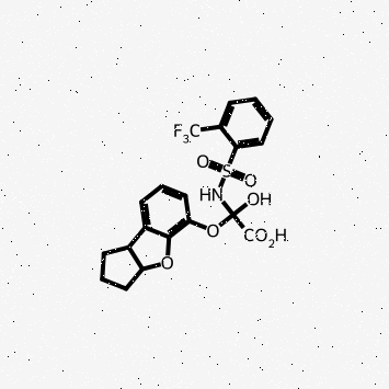 O=C(O)C(O)(NS(=O)(=O)c1ccccc1C(F)(F)F)Oc1cccc2c1OC1CCCC21